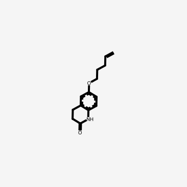 C=CCCCOc1ccc2c(c1)CCC(=O)N2